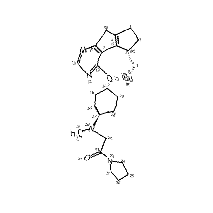 CC[C@@H](C)C[C@H]1CCC2=C1c1c(ncnc1O[C@H]1CC[C@H](N(C)CC(=O)N3CCCC3)CC1)C2